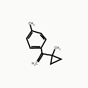 C=C(c1ccc(C)cc1)C1(C)CC1